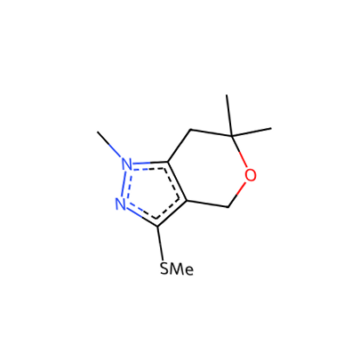 CSc1nn(C)c2c1COC(C)(C)C2